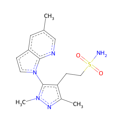 Cc1cnc2c(ccn2-c2c(CCS(N)(=O)=O)c(C)nn2C)c1